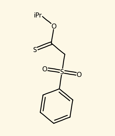 CC(C)OC(=S)CS(=O)(=O)c1ccccc1